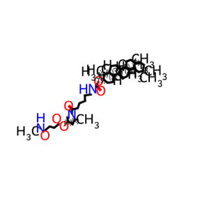 CNC(=O)CCC(=O)O[C@@H]1C[C@@H](C)N(C(=O)CCCCCNC(=O)O[C@H]2CC[C@@H]3[C@](C)(CC[C@H]4[C@@]3(C)CC[C@@]3(C)[C@@H]5CC(C)(C)CC[C@]5(C)CC[C@]43C)[C@H]2C)C1